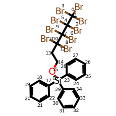 BrC(Br)(Br)C(Br)(Br)C(Br)(Br)C(Br)(Br)CCO[Si](c1ccccc1)(c1ccccc1)c1ccccc1